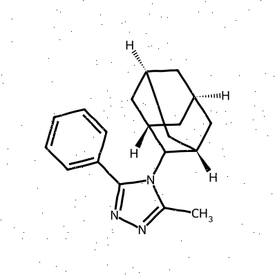 Cc1nnc(-c2ccccc2)n1C1[C@H]2C[C@H]3C[C@H](C2)C[C@@H]1C3